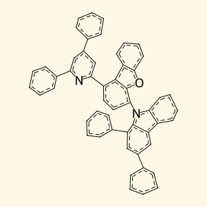 c1ccc(-c2cc(-c3ccccc3)nc(-c3ccc(-n4c5ccccc5c5cc(-c6ccccc6)cc(-c6ccccc6)c54)c4oc5ccccc5c34)c2)cc1